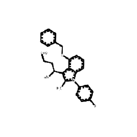 CCCC(CCC=O)c1c(C(F)(F)F)n(-c2ccc(F)cc2)c2cccc(OCc3ccccc3)c12